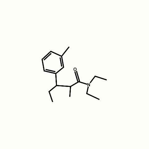 CCC(c1cccc(C)c1)C(C)C(=O)N(CC)CC